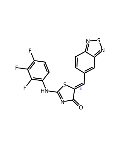 O=C1N=C(Nc2ccc(F)c(F)c2F)S/C1=C\c1ccc2nsnc2c1